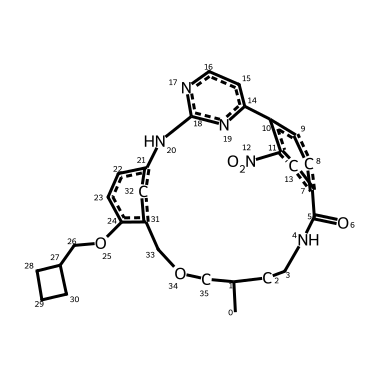 CC1CCNC(=O)c2ccc(c([N+](=O)[O-])c2)-c2ccnc(n2)Nc2ccc(OCC3CCC3)c(c2)COC1